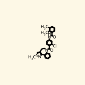 Cc1cccc(C(=O)Nc2ccc(C(=O)N3CCc4cn(C)nc4-c4ccccc43)c(Cl)c2)c1C